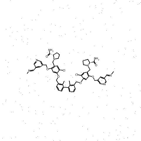 C/N=C/c1cncc(COc2cc(OCc3cccc(-c4cccc(COc5cc(OCc6cncc(/C=N/C)c6)c(CN6CCC[C@H]6C(N)=O)cc5Cl)c4C)c3C)c(Cl)cc2CN2CCC[C@H]2C(N)=O)c1